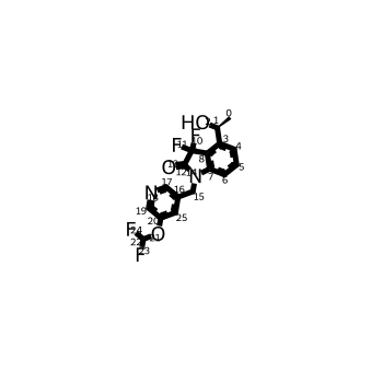 C[C@H](O)c1cccc2c1C(F)(F)C(=O)N2Cc1cncc(OC(F)F)c1